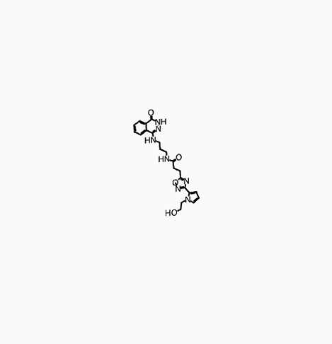 O=C(CCc1nc(-c2cccn2CCO)no1)NCCCNc1n[nH]c(=O)c2ccccc12